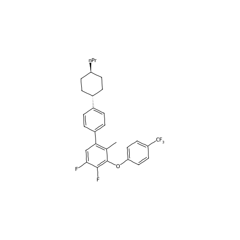 CCC[C@H]1CC[C@H](c2ccc(-c3cc(F)c(F)c(Oc4ccc(C(F)(F)F)cc4)c3C)cc2)CC1